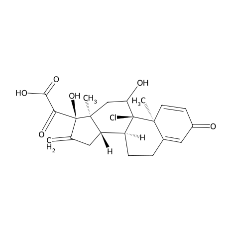 C=C1C[C@H]2[C@@H]3CCC4=CC(=O)C=C[C@]4(C)[C@@]3(Cl)C(O)C[C@]2(C)[C@@]1(O)C(=O)C(=O)O